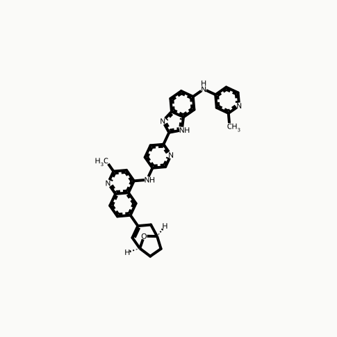 Cc1cc(Nc2ccc3nc(-c4ccc(Nc5cc(C)nc6ccc(C7=C[C@@H]8CC[C@H](C7)O8)cc56)cn4)[nH]c3c2)ccn1